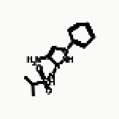 CC(C)S(=O)(=O)NN1NN(c2ccccc2)C=C1N